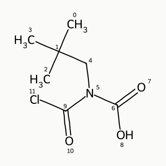 CC(C)(C)CN(C(=O)O)C(=O)Cl